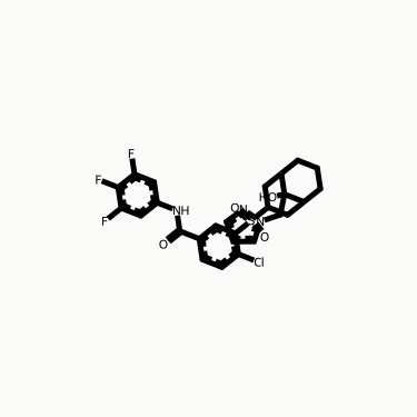 O=C(Nc1cc(F)c(F)c(F)c1)c1ccc(Cl)c(S(=O)(=O)C2CC3CCCC(C2)C3(O)Cn2cccn2)c1